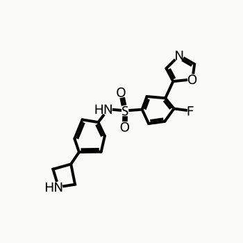 O=S(=O)(Nc1ccc(C2CNC2)cc1)c1ccc(F)c(-c2cnco2)c1